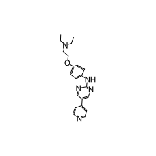 CCN(CC)CCOc1ccc(Nc2ncc(-c3ccncc3)cn2)cc1